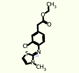 CCOC(=O)Cc1ccc(/N=c2\sccn2C)c(Cl)c1